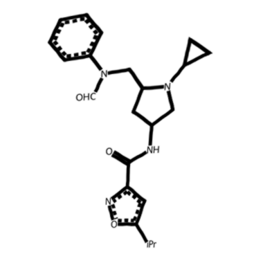 CC(C)c1cc(C(=O)NC2CC(CN(C=O)c3ccccc3)N(C3CC3)C2)no1